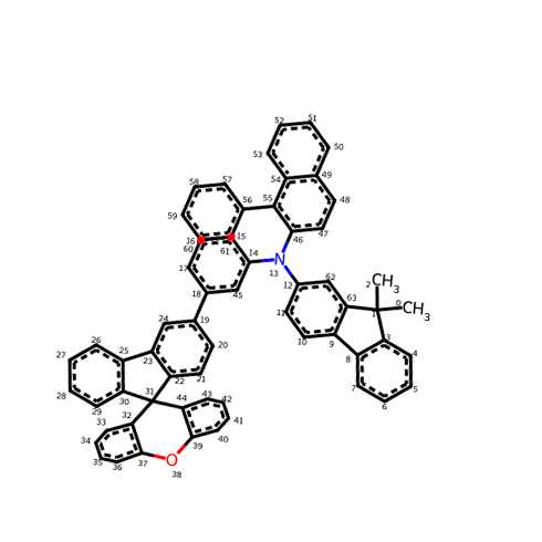 CC1(C)c2ccccc2-c2ccc(N(c3cccc(-c4ccc5c(c4)-c4ccccc4C54c5ccccc5Oc5ccccc54)c3)c3ccc4ccccc4c3-c3ccccc3)cc21